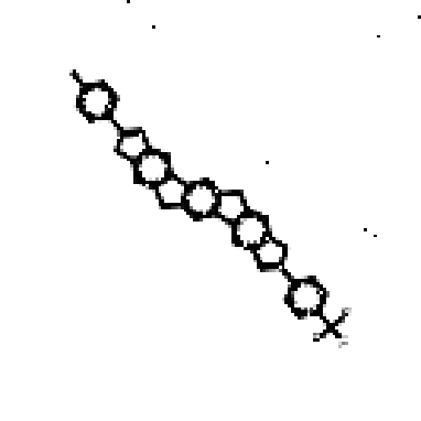 Cc1ccc(C2=Cc3cc4c(cc3C2)Cc2cc3c(cc2-4)Cc2cc4c(cc2-3)C=C(c2ccc(C(F)(F)F)cc2)C4)cc1